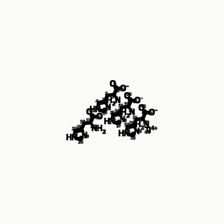 N[C@@H](Cc1c[nH]cn1)C(=O)[O-].N[C@@H](Cc1c[nH]cn1)C(=O)[O-].N[C@@H](Cc1c[nH]cn1)C(=O)[O-].N[C@@H](Cc1c[nH]cn1)C(=O)[O-].[Ti+4]